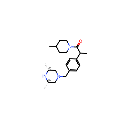 CC1CCN(C(=O)C(C)c2ccc(CN3C[C@@H](C)N[C@@H](C)C3)cc2)CC1